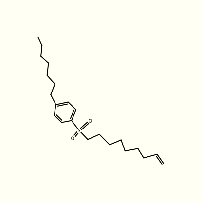 C=CCCCCCCCS(=O)(=O)c1ccc(CCCCCCC)cc1